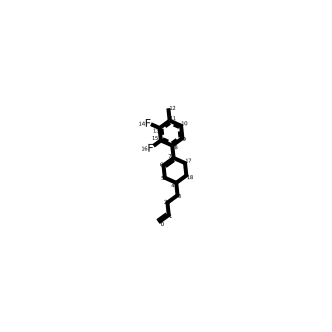 C=CCCC1CC=C(c2ccc(C)c(F)c2F)CC1